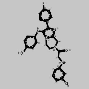 Cc1ccc(Nc2c(-c3ccc(F)cc3)nc3n2CCN(C(=O)CNc2cccc(Cl)c2)C3)cc1